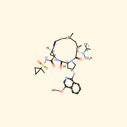 CCCOc1cnc(O[C@@H]2C[C@H]3C(=O)N[C@]4(C(=O)NS(=O)(=O)C5(C)CC5)C[C@H]4/C=C\CC[C@@H](C)C[C@@H](C)[C@H](N(C(=O)O)[C@H](C)C(F)(F)F)C(=O)N3C2)c2ccccc12